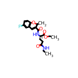 C=C1Oc2ccc(F)cc2C=C1C(=O)N[C@@H](CCC(=O)NCC)C(=O)OCC